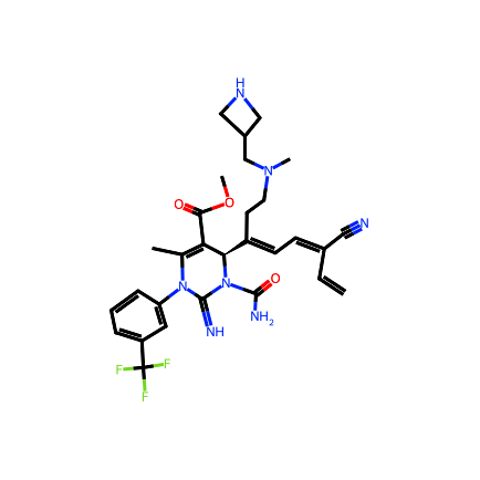 C=C/C(C#N)=C\C=C(/CCN(C)CC1CNC1)[C@@H]1C(C(=O)OC)=C(C)N(c2cccc(C(F)(F)F)c2)C(=N)N1C(N)=O